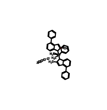 CC1=Cc2c(-c3ccccc3)cccc2[CH]1[Zr]([CH3])(=[SiH2])([c]1ccccc1)[CH]1C(C)=Cc2c(-c3ccccc3)cccc21.[Cl-].[Cl-].[Cl-].[Cl-].[Zr+4]